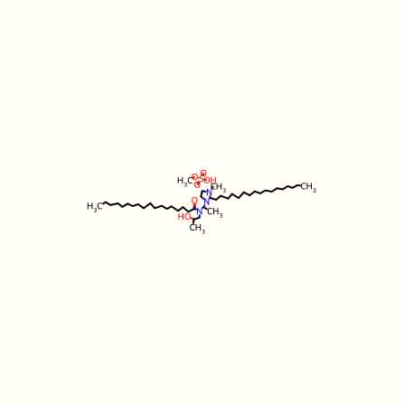 CCCCCCCCCCCCCCCCCC(=O)N(CC(C)O)C(C)N1CCN(C)C1CCCCCCCCCCCCCCCCC.COS(=O)(=O)O